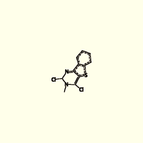 CN1C(Cl)=c2sc3ccccc3c2=NC1Cl